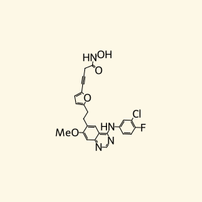 COc1cc2ncnc(Nc3ccc(F)c(Cl)c3)c2cc1CCc1ccc(C#CCC(=O)NO)o1